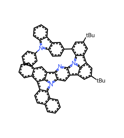 CC(C)(C)c1cc(-c2ccc3c(c2)c2ccccc2n3-c2ccccc2)c2c(c1)c1cc(C(C)(C)C)cc3c4cc5c(nc4n2c31)c1cc2ccccc2c2c3ccc4ccccc4c3n5c12